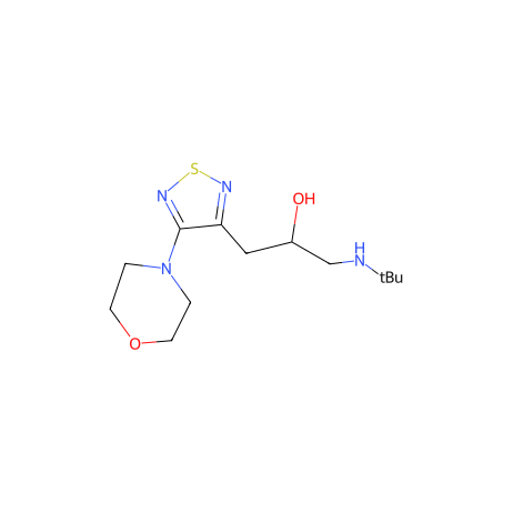 CC(C)(C)NCC(O)Cc1nsnc1N1CCOCC1